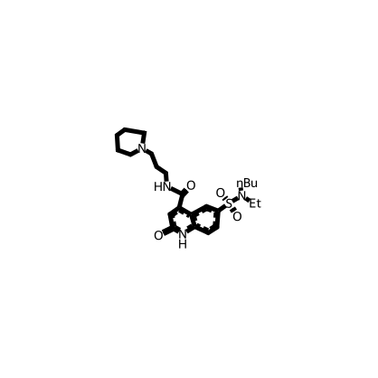 CCCCN(CC)S(=O)(=O)c1ccc2[nH]c(=O)cc(C(=O)NCCCN3CCCCC3)c2c1